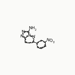 Nc1nnc2ccc(-c3cccc([N+](=O)[O-])c3)nn12